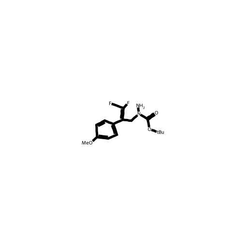 COc1ccc(C(CN(N)C(=O)OC(C)(C)C)=C(F)F)cc1